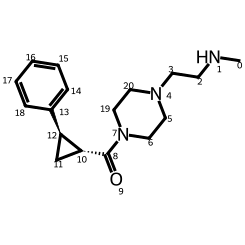 CNCCN1CCN(C(=O)[C@@H]2C[C@H]2c2ccccc2)CC1